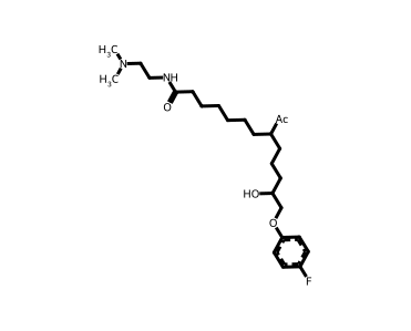 CC(=O)C(CCCCCCC(=O)NCCN(C)C)CCCC(O)COc1ccc(F)cc1